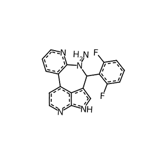 NN1c2ncccc2-c2ccnc3[nH]cc(c23)C1c1c(F)cccc1F